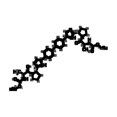 CCCCOC(=O)N[C@@H](C)C(=O)N1CCC[C@H]1c1ncc(-c2ccc(-c3ccc(-c4cnc([C@@H]5CCCN5C(=O)[C@H](C)NC(=O)OCCCC)[nH]4)cc3)cc2)[nH]1